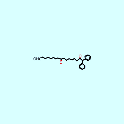 O=CCCCCCCCC(=O)CCCCCCC(=O)C(c1ccccc1)c1ccccc1